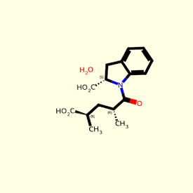 C[C@H](C[C@@H](C)C(=O)N1c2ccccc2C[C@H]1C(=O)O)C(=O)O.O